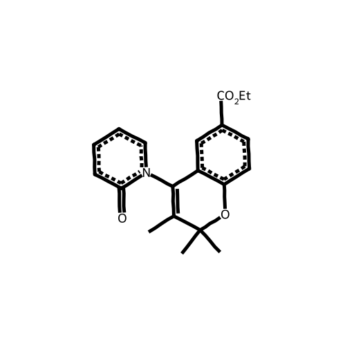 CCOC(=O)c1ccc2c(c1)C(n1ccccc1=O)=C(C)C(C)(C)O2